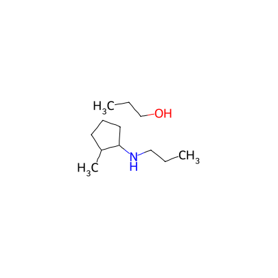 CCCNC1CCCC1C.CCCO